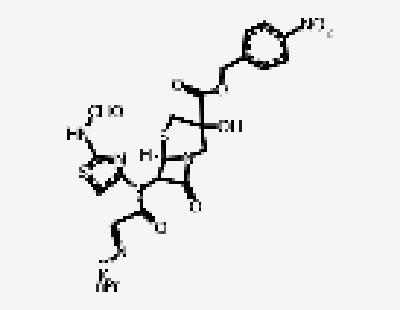 CCCON=CC(=O)N(c1csc(NC=O)n1)C1C(=O)N2CC(O)(C(=O)OCc3ccc([N+](=O)[O-])cc3)CS[C@H]12